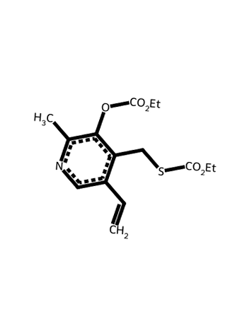 C=Cc1cnc(C)c(OC(=O)OCC)c1CSC(=O)OCC